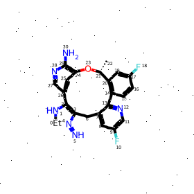 CCN/C1=C(\N=N)Cc2cc(F)cnc2-c2ccc(F)cc2[C@@H](C)Oc2cc1cnc2N